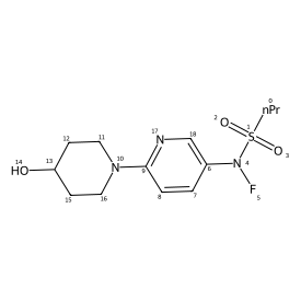 CCCS(=O)(=O)N(F)c1ccc(N2CCC(O)CC2)nc1